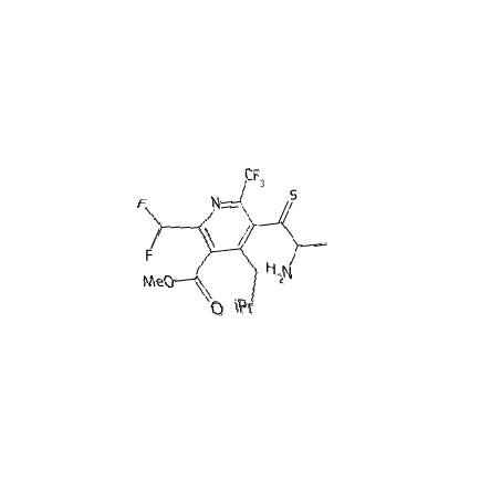 COC(=O)c1c(C(F)F)nc(C(F)(F)F)c(C(=S)C(C)N)c1CC(C)C